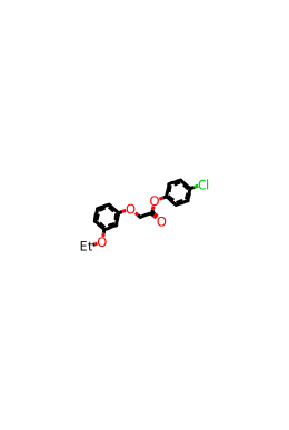 CCOc1cccc(OCC(=O)Oc2ccc(Cl)cc2)c1